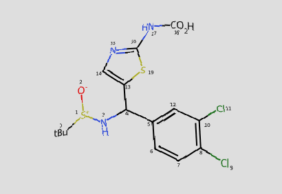 CC(C)(C)[S+]([O-])NC(c1ccc(Cl)c(Cl)c1)c1cnc(NC(=O)O)s1